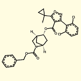 O=C(O[C@@H]1C[C@@H]2C[C@H]1CN2C(=O)OCc1ccccc1)c1c(-c2c(Cl)cccc2Cl)noc1C1(F)CC1